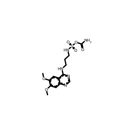 COc1cc2ncnc(NCCCNS(=O)(=O)OC(N)=O)c2cc1OC